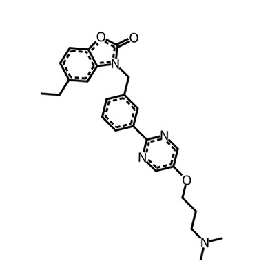 CCc1ccc2oc(=O)n(Cc3cccc(-c4ncc(OCCCN(C)C)cn4)c3)c2c1